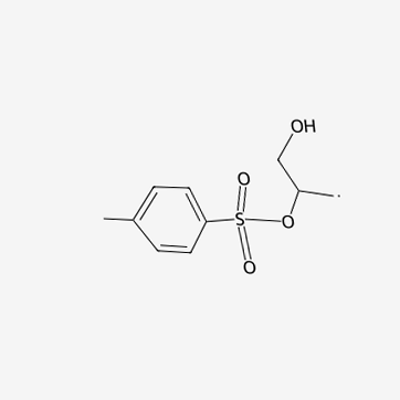 [CH2]C(CO)OS(=O)(=O)c1ccc(C)cc1